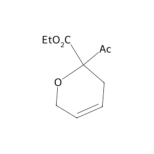 CCOC(=O)C1(C(C)=O)CC=CCO1